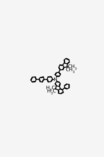 CC1(C)c2ccccc2-c2ccc(-c3ccc(N(c4ccc(-c5ccc(-c6ccccc6)cc5)cc4)c4ccc5c(c4)C(C)(C)c4cccc(-c6ccccc6)c4-5)cc3)cc21